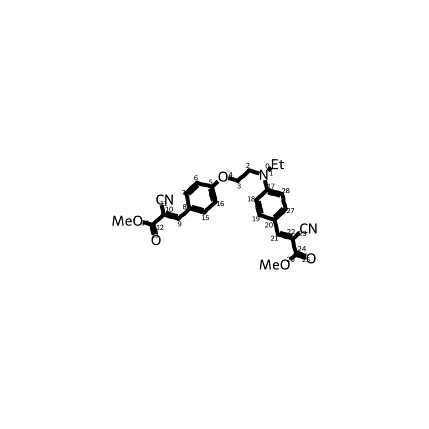 CCN(CCOc1ccc(/C=C(\C#N)C(=O)OC)cc1)c1ccc(/C=C(\C#N)C(=O)OC)cc1